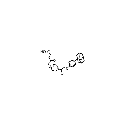 C[N+]1(OC(=O)CCC(=O)O)CCN(C(=O)COc2ccc(C34CC5CC(CC(C5)C3)C4)cc2)CC1